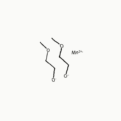 COCC[O-].COCC[O-].[Mn+2]